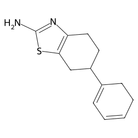 Nc1nc2c(s1)CC(C1=CC=CCC1)CC2